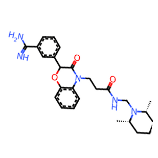 C[C@@H]1CCC[C@H](C)N1CNC(=O)CCN1C(=O)C(c2cccc(C(=N)N)c2)Oc2ccccc21